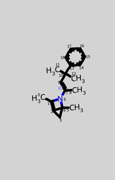 CC1=C2CC2(C)N1/C(C)=C/C(C)(C)c1ccccc1